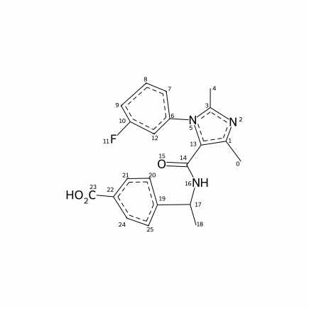 Cc1nc(C)n(-c2cccc(F)c2)c1C(=O)NC(C)c1ccc(C(=O)O)cc1